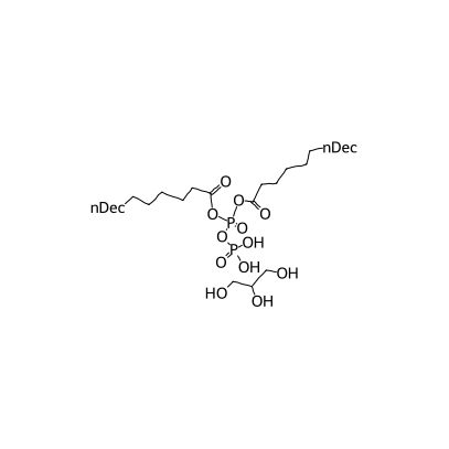 CCCCCCCCCCCCCCCC(=O)OP(=O)(OC(=O)CCCCCCCCCCCCCCC)OP(=O)(O)O.OCC(O)CO